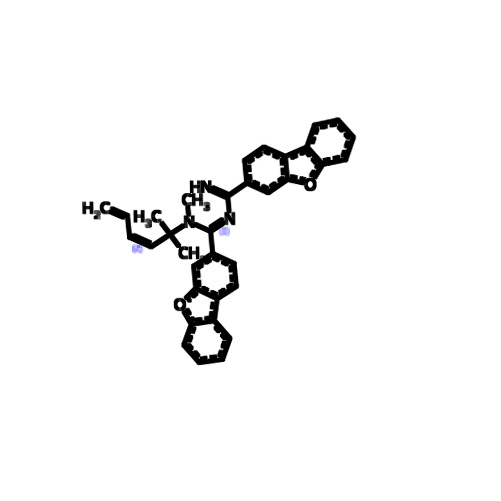 C=C/C=C\C(C)(C)N(C)/C(=N\C(=N)c1ccc2c(c1)oc1ccccc12)c1ccc2c(c1)oc1ccccc12